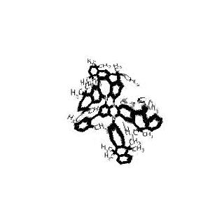 Cc1ccccc1-c1cc2c3c(c1)N1c4cc5c(cc4-c4c6c(cc7c4C(C)(C)CCC7(C)C)C(C)(C)c4ccc(c1c4-6)B3c1cc3c(cc1N2c1ccc2c(c1)C(C)(C)c1ccccc1C2(C)C)C(C)(C)c1ccccc1C3(C)C)C(C)(C)CCC5(C)C